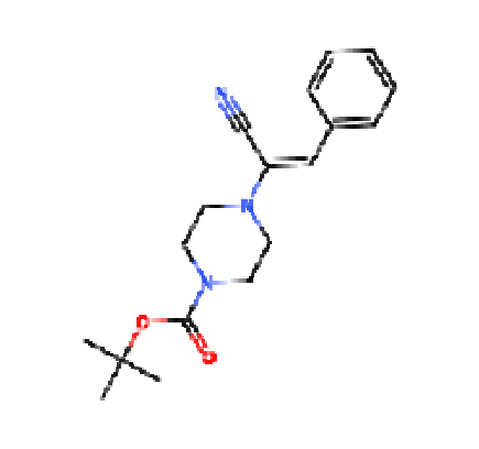 CC(C)(C)OC(=O)N1CCN(/C(C#N)=C/c2ccccc2)CC1